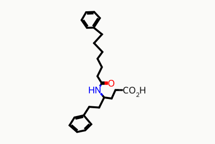 O=C(O)CCC(CCc1ccccc1)NC(=O)CCCCCCc1ccccc1